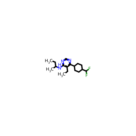 CCc1c(NC(C)CC)ncnc1C1CCC(C(F)F)CC1